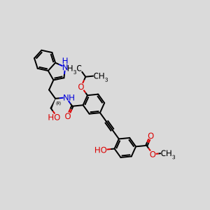 COC(=O)c1ccc(O)c(C#Cc2ccc(OC(C)C)c(C(=O)N[C@@H](CO)Cc3c[nH]c4ccccc34)c2)c1